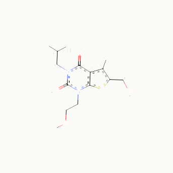 COCCn1c(=O)n(CC(C)C)c(=O)c2c(C)c(CO)sc21